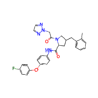 Cc1ccccc1CC1CC(C(=O)Nc2ccc(Oc3ccc(F)cc3)cc2)N(C(=O)Cn2nccn2)C1